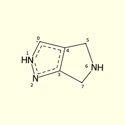 [c]1[nH]nc2c1CNC2